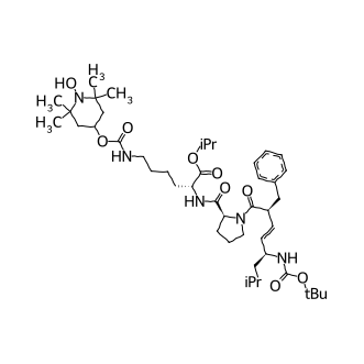 CC(C)C[C@@H](/C=C/[C@H](Cc1ccccc1)C(=O)N1CCC[C@H]1C(=O)N[C@H](CCCCNC(=O)OC1CC(C)(C)N(O)C(C)(C)C1)C(=O)OC(C)C)NC(=O)OC(C)(C)C